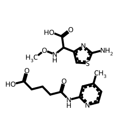 CONC(C(=O)O)c1csc(N)n1.Cc1ccnc(NC(=O)CCCC(=O)O)c1